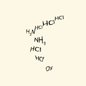 Cl.Cl.Cl.Cl.Cl.N.N.[Os]